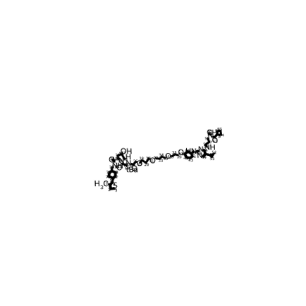 Cc1ccsc1-c1ccc(CNC(=O)[C@@H]2C[C@@H](O)CN2C(=O)[C@@H](NC(=O)COCCCOCCCCOCCCOc2cccc(Nc3ncc(C4CC4)c(NCCCN(C)C(=O)C4CCC4)n3)c2)C(C)(C)C)cc1